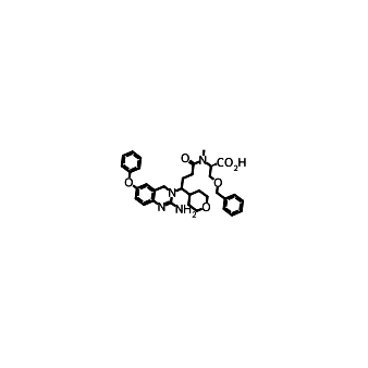 CN(C(=O)CCC(C1CCOCC1)N1Cc2cc(Oc3ccccc3)ccc2N=C1N)[C@H](COCc1ccccc1)C(=O)O